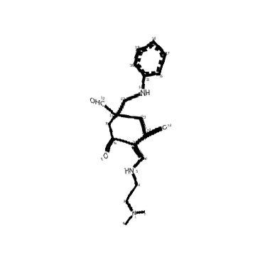 CN(C)CCNC=C1C(=O)CC(C=O)(CNc2ccccc2)CC1=O